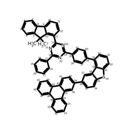 CC1(C)c2ccccc2-c2cccc(-c3nc(-c4ccccc4)nc(-c4ccc(-c5cccc6sc7ccc(-c8ccc9c%10ccccc%10c%10ccccc%10c9c8)cc7c56)cc4)n3)c21